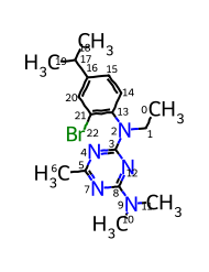 CCN(c1nc(C)nc(N(C)C)n1)c1ccc(C(C)C)cc1Br